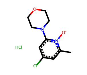 Cc1cc(Cl)cc(N2CCOCC2)[n+]1[O-].Cl